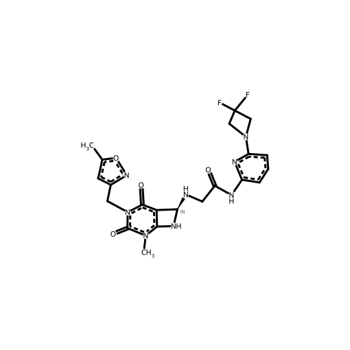 Cc1cc(Cn2c(=O)c3c(n(C)c2=O)N[C@@H]3NCC(=O)Nc2cccc(N3CC(F)(F)C3)n2)no1